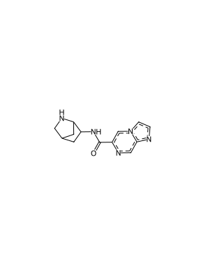 O=C(NC1CC2CNC1C2)c1cn2ccnc2cn1